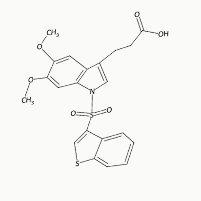 COc1cc2c(CCC(=O)O)cn(S(=O)(=O)c3csc4ccccc34)c2cc1OC